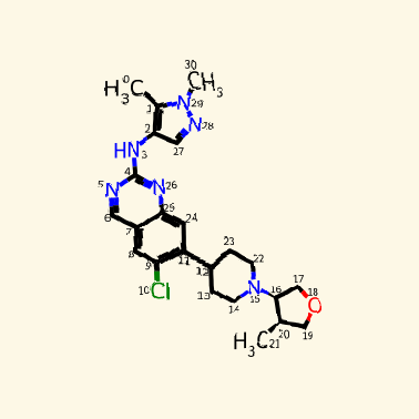 Cc1c(Nc2ncc3cc(Cl)c(C4CCN([C@H]5COC[C@H]5C)CC4)cc3n2)cnn1C